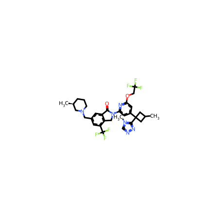 CC1CC(c2cc(OCC(F)(F)F)nc(N3Cc4c(cc(CN5CCC[C@H](C)C5)cc4C(F)(F)F)C3=O)c2)(c2nncn2C)C1